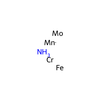 N.[Cr].[Fe].[Mn].[Mo]